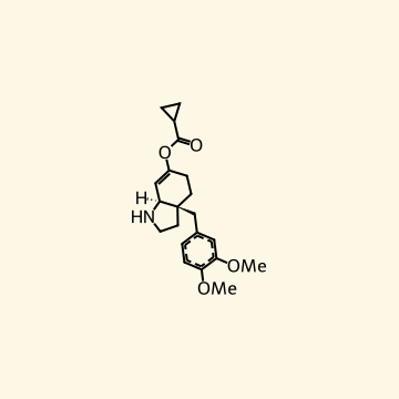 COc1ccc(C[C@@]23CCN[C@H]2C=C(OC(=O)C2CC2)CC3)cc1OC